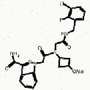 COC1CC(N(CC(=O)NCc2cccc(Cl)c2F)C(=O)Cn2nc(C(N)=O)c3ccccc32)C1